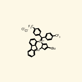 CCCCC1C=C(C(C)(C)C)C=[C]1[Zr+2](=[C](c1ccc(C(F)(F)F)cc1)c1ccc(C(F)(F)F)cc1)[c]1cccc2c1Cc1ccccc1-2.[Cl-].[Cl-]